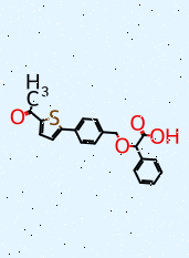 CC(=O)c1ccc(-c2ccc(COC(C(=O)O)c3ccccc3)cc2)s1